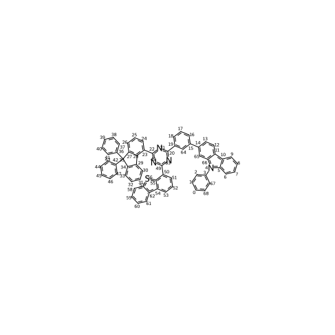 c1ccc(-n2c3ccccc3c3ccc(-c4cccc(-c5nc(-c6cccc7c6-c6ccccc6C7(c6ccccc6)c6ccccc6)nc(-c6cccc7c6sc6ccccc67)n5)c4)cc32)cc1